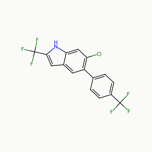 FC(F)(F)c1ccc(-c2cc3cc(C(F)(F)F)[nH]c3cc2Cl)cc1